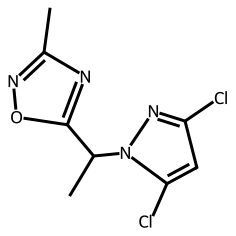 Cc1noc(C(C)n2nc(Cl)cc2Cl)n1